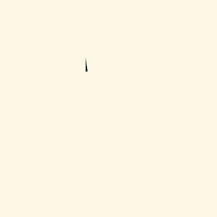 C=C.CCCCCCC(C)(C)c1ccc([C@@H]2CC(=O)CC[C@H]2CCO)c(OCc2ccccc2)c1